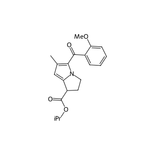 COc1ccccc1C(=O)c1c(C)cc2n1CCC2C(=O)OC(C)C